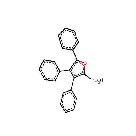 O=C(O)c1oc(-c2ccccc2)c(-c2ccccc2)c1-c1ccccc1